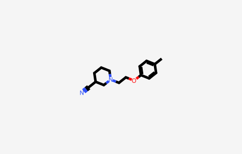 Cc1ccc(OCCN2CCCC(C#N)C2)cc1